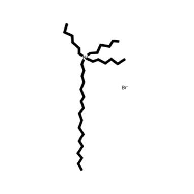 CCCCCCCCCCCCCCCCCC[N+](CCCCCC)(CCCCCC)CCCCCC.[Br-]